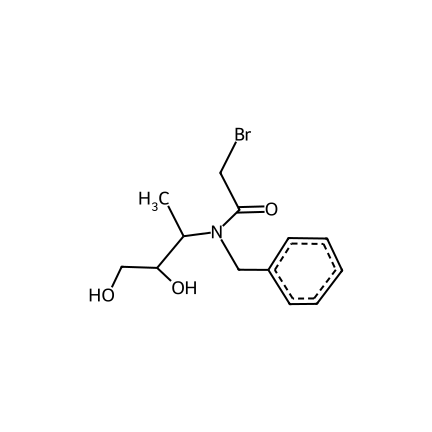 CC(C(O)CO)N(Cc1ccccc1)C(=O)CBr